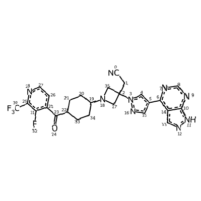 N#CCC1(n2cc(-c3ncnc4[nH]ncc34)cn2)CN(C2CCC(C(=O)c3ccnc(C(F)(F)F)c3F)CC2)C1